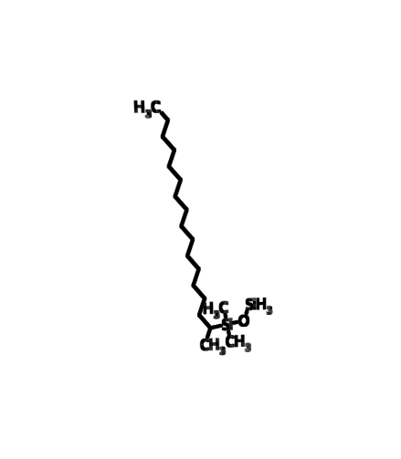 CCCCCCCCCCCCCCCC(C)[Si](C)(C)O[SiH3]